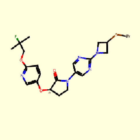 CC(C)SC1CN(c2ncc(N3CC[C@@H](Oc4ccc(OCC(C)(C)F)nc4)C3=O)cn2)C1